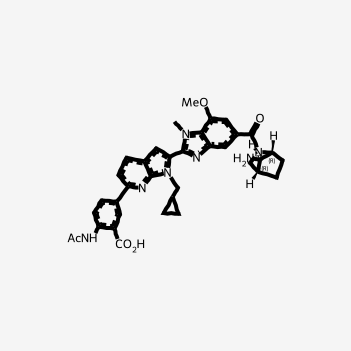 COc1cc(C(=O)N2C[C@H]3CC[C@@H]2[C@@H]3N)cc2nc(-c3cc4ccc(-c5ccc(NC(C)=O)c(C(=O)O)c5)nc4n3CC3CC3)n(C)c12